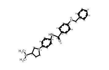 CN(C)C1CCN(c2ccc(NC(=O)c3ccc(OCc4ccccc4)cc3)cc2)C1